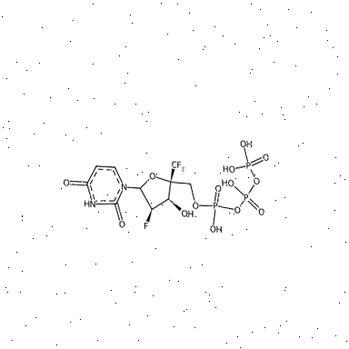 O=c1ccn(C2O[C@@](COP(=O)(O)OP(=O)(O)OP(=O)(O)O)(C(F)(F)F)[C@@H](O)[C@H]2F)c(=O)[nH]1